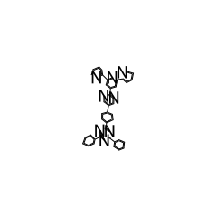 c1ccc(-c2nc(-c3ccccc3)nc(-c3ccc(-c4cnc(-c5cc(-c6ccccn6)nc(-c6ccccn6)c5)nc4)cc3)n2)cc1